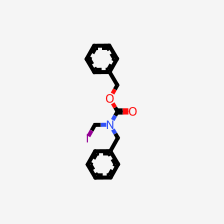 O=C(OCc1ccccc1)N(CI)Cc1ccccc1